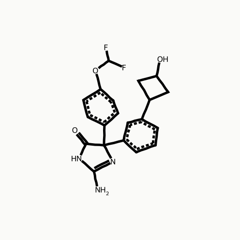 NC1=NC(c2ccc(OC(F)F)cc2)(c2cccc(C3CC(O)C3)c2)C(=O)N1